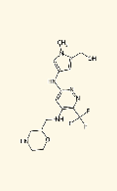 Cn1cc(Nc2cc(NCC3CNCCO3)c(C(F)(F)F)nn2)cc1CO